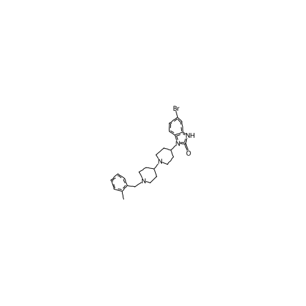 Cc1ccccc1CN1CCC(N2CCC(n3c(=O)[nH]c4cc(Br)ccc43)CC2)CC1